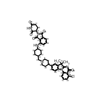 CC1(C)c2cc(C3CCN(CC4CCC(Nc5cccc6c5C(=O)N(C5CCC(=O)NC5=O)C6=O)CC4)CC3)ccc2-n2c1nc(=O)c1c(Cl)cccc12